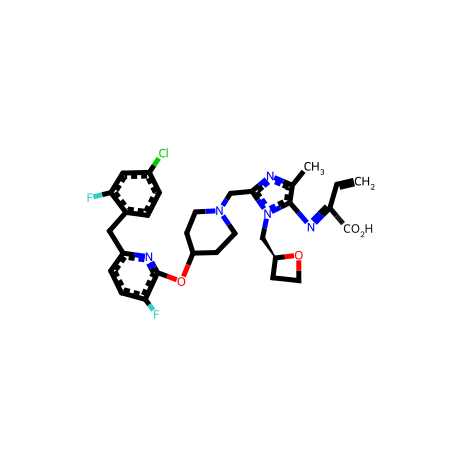 C=C/C(=N\c1c(C)nc(CN2CCC(Oc3nc(Cc4ccc(Cl)cc4F)ccc3F)CC2)n1C[C@@H]1CCO1)C(=O)O